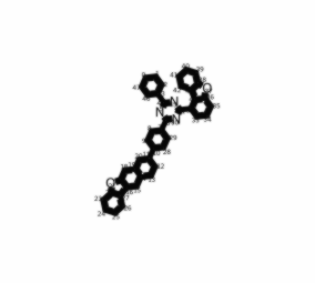 c1ccc(-c2nc(-c3ccc(-c4ccc5cc6c(cc5c4)oc4ccccc46)cc3)nc(-c3cccc4oc5ccccc5c34)n2)cc1